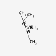 CCCCCCCCCCC(CCCCCCCCOC(=O)CC(CCCCCCCC)CCCCCCCC)OC(=O)CCCN(C)C